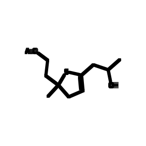 CC(=O)OCCC1(C)CC=C(CC(C)O)S1